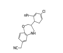 CCCC1=CC(Cl)=CCC1C1CNc2cc(CC#N)ccc2OC1